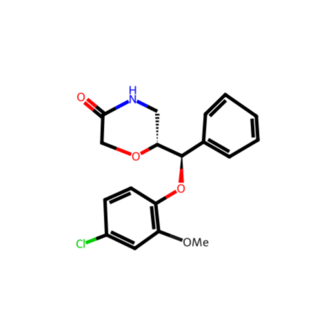 COc1cc(Cl)ccc1O[C@H](c1ccccc1)[C@H]1CNC(=O)CO1